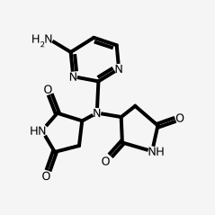 Nc1ccnc(N(C2CC(=O)NC2=O)C2CC(=O)NC2=O)n1